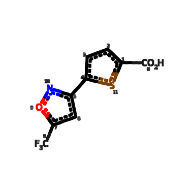 O=C(O)c1ccc(-c2cc(C(F)(F)F)on2)s1